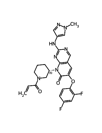 C=CC(=O)N1CCC[C@H](n2c(=O)c(Oc3ccc(F)cc3F)cc3cnc(Nc4cnn(C)c4)nc32)C1